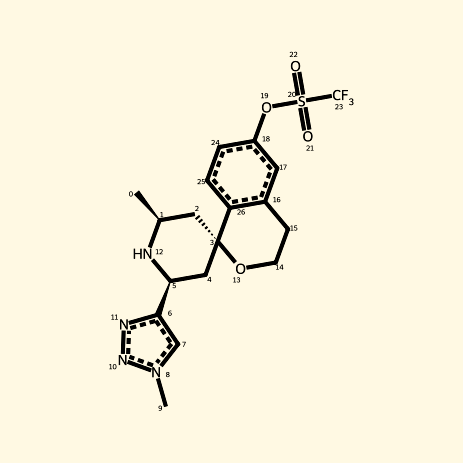 C[C@H]1C[C@@]2(C[C@@H](c3cn(C)nn3)N1)OCCc1cc(OS(=O)(=O)C(F)(F)F)ccc12